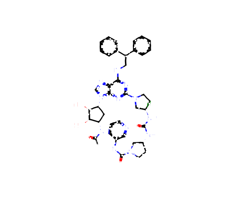 CCC(=O)N[C@H]1C[C@@H](n2cnc3c(NCC(c4ccccc4)c4ccccc4)nc(N4CC[C@@H](NC(=O)N[C@@H]5CCN(C(=O)Nc6cccnc6)C5)C4)nc32)[C@H](O)[C@@H]1O.Cl